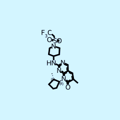 Cc1cc2cnc(NC3CCN(S(=O)(=O)CC(F)(F)F)CC3)nc2n([C@@H]2CCC[C@@H]2C)c1=O